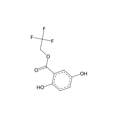 O=C(OCC(F)(F)F)c1cc(O)ccc1O